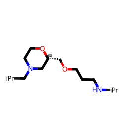 CC(C)CN1CCO[C@H](COCCCNC(C)C)C1